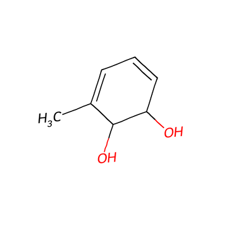 CC1=CC=CC(O)C1O